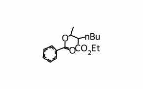 CCCCC(C(=O)OCC)C(C)OC(=O)c1ccccc1